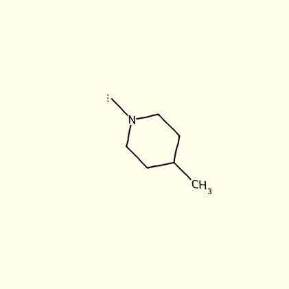 [C]N1CCC(C)CC1